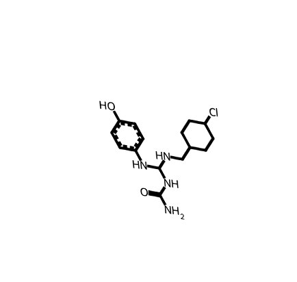 NC(=O)NC(NCC1CCC(Cl)CC1)Nc1ccc(O)cc1